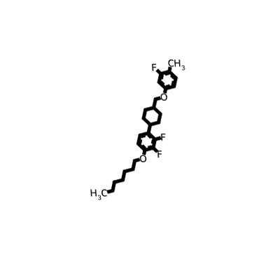 CCCCCCCOc1ccc(C2CCC(COc3ccc(C)c(F)c3)CC2)c(F)c1F